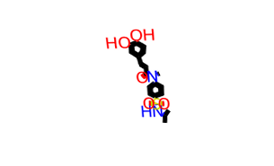 CC(C)NS(=O)(=O)c1ccc(N(C)C(=O)/C=C/c2ccc(O)c(O)c2)cc1